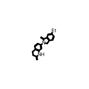 C=C1CCc2ccc(N3Cc4ccc(CC)cc4C3=C)cc2N1